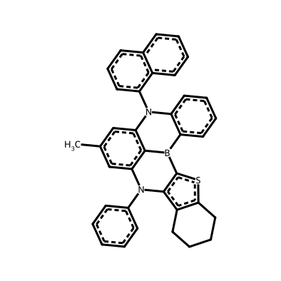 Cc1cc2c3c(c1)N(c1cccc4ccccc14)c1ccccc1B3c1sc3c(c1N2c1ccccc1)CCCC3